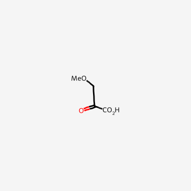 COCC(=O)C(=O)O